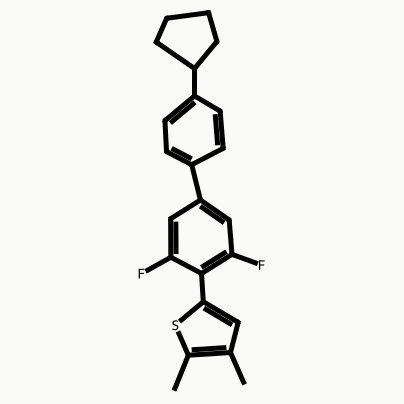 Cc1cc(-c2c(F)cc(-c3ccc(C4CCCC4)cc3)cc2F)sc1C